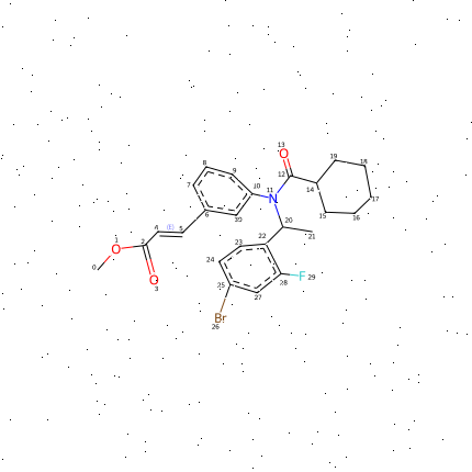 COC(=O)/C=C/c1cccc(N(C(=O)C2CCCCC2)C(C)c2ccc(Br)cc2F)c1